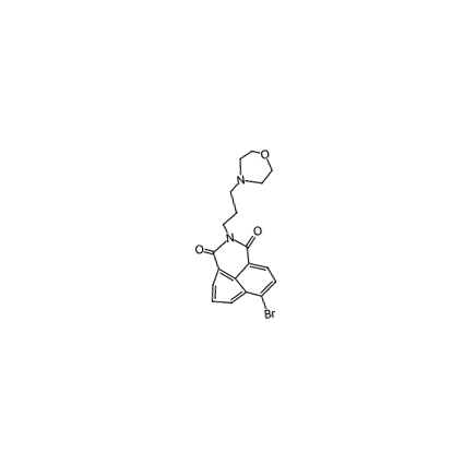 O=C1c2cccc3c(Br)ccc(c23)C(=O)N1CCCN1CCOCC1